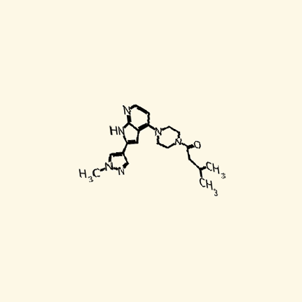 CC(C)CC(=O)N1CCN(c2ccnc3[nH]c(-c4cnn(C)c4)cc23)CC1